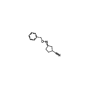 N#CC1CC/C(=N\OCc2ccccc2)C1